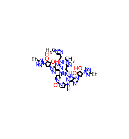 CCc1nnn([C@H]2C[C@@H](n3cnc4c(N[C@@H]5CCN(C(=O)N6CC[C@@H](Nc7nc(NCCc8cn(C)cn8)nc8c7ncn8[C@@H]7C[C@H](n8nnc(CC)n8)[C@@H](O)[C@H]7O)C6)C5)nc(NCCc5cn(C)cn5)nc43)[C@H](O)[C@@H]2O)n1